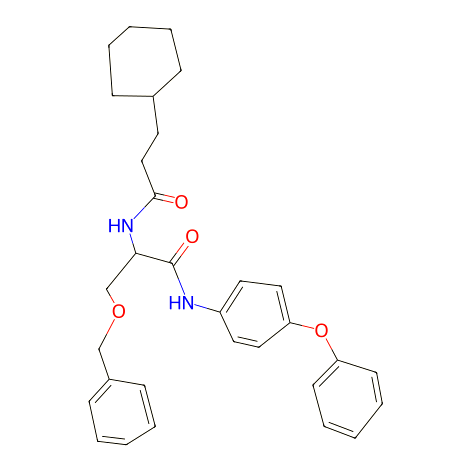 O=C(CCC1CCCCC1)NC(COCc1ccccc1)C(=O)Nc1ccc(Oc2ccccc2)cc1